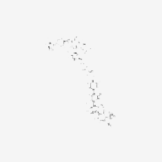 CC(=O)O[C@@H]1C[C@@H](C(=O)NCc2ccc(-c3scnc3C)cc2)N(C(=O)[C@@H](NC(=O)COCCC(F)COc2ccc(-c3ncc(N4C(=S)N(c5ccc(C#N)c(C(F)(F)F)c5F)C(=O)C4(C)C)cc3F)cc2F)C(C)(C)C)C1